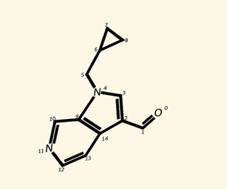 O=Cc1cn(CC2CC2)c2cnccc12